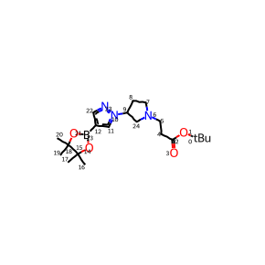 CC(C)(C)OC(=O)CCN1CCC(n2cc(B3OC(C)(C)C(C)(C)O3)cn2)C1